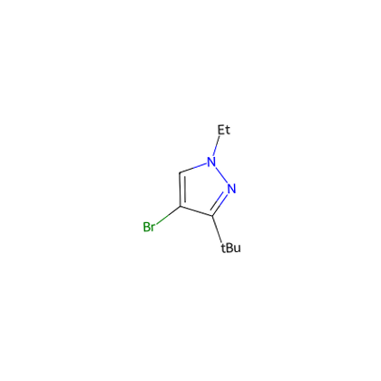 CCn1cc(Br)c(C(C)(C)C)n1